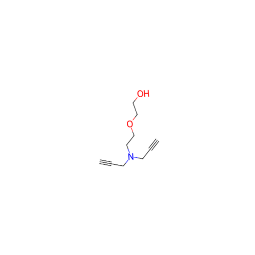 C#CCN(CC#C)CCOCCO